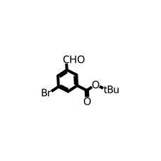 CC(C)(C)OC(=O)c1cc(Br)cc(C=O)c1